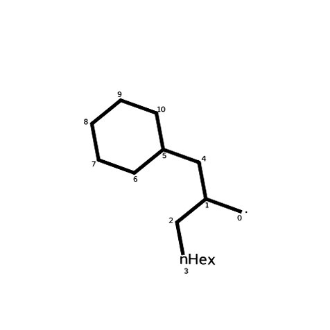 [CH2]C(CCCCCCC)CC1CCCCC1